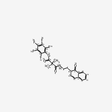 CC(C)(C(=O)NCCn1ncc2ccccc2c1=O)C(=O)Oc1c(F)c(F)c(F)c(F)c1F